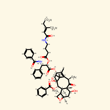 CC(=O)O[C@H]1C(=O)[C@@]2(C)[C@H]([C@H](OC(=O)c3ccccc3)[C@]3(O)C[C@H](OC(=O)[C@H](OC(=O)CCCNC(=O)/C=C(/CC(=O)O)C(=O)O)[C@@H](NC(=O)c4ccccc4)c4ccccc4)C(C)=C1C3(C)C)[C@]1(OC(C)=O)CO[C@@H]1C[C@@H]2O